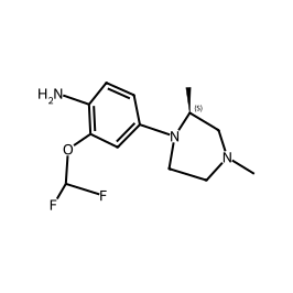 C[C@H]1CN(C)CCN1c1ccc(N)c(OC(F)F)c1